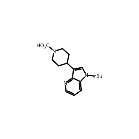 CCCCn1cc(C2CCN(C(=O)O)CC2)c2ncccc21